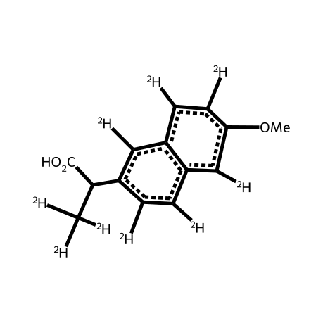 [2H]c1c(C(C(=O)O)C([2H])([2H])[2H])c([2H])c2c([2H])c([2H])c(OC)c([2H])c2c1[2H]